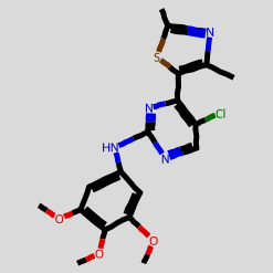 COc1cc(Nc2ncc(Cl)c(-c3sc(C)nc3C)n2)cc(OC)c1OC